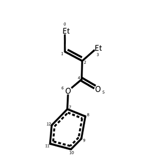 CCC=C(CC)C(=O)Oc1ccccc1